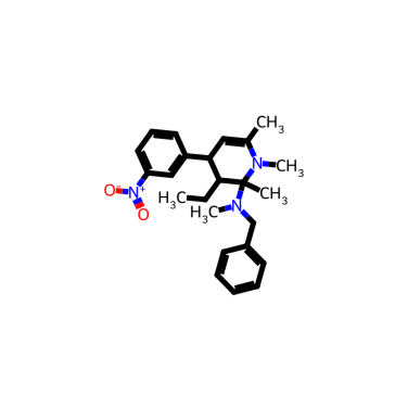 CCC1C(c2cccc([N+](=O)[O-])c2)C=C(C)N(C)C1(C)N(C)Cc1ccccc1